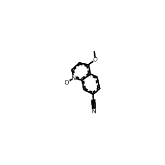 COc1cc[n+]([O-])c2cc(C#N)ccc12